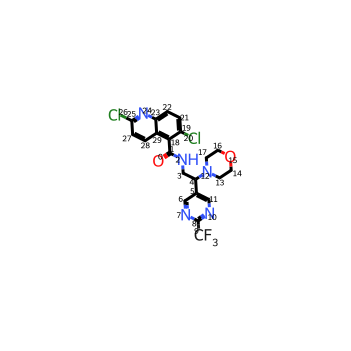 O=C(NCC(c1cnc(C(F)(F)F)nc1)N1CCOCC1)c1c(Cl)ccc2nc(Cl)ccc12